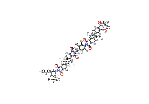 CCC(C)(CC)c1cc(C(=O)O)cc(N2C(=O)c3ccc(C(c4ccc5c(c4)C(=O)N(C(C)(c4c(C)c(C)c(N6C(=O)c7ccc(C(c8ccc9c(c8)C(=O)N(C(C)(CC)CC)C9=O)(C(F)(F)F)C(F)(F)F)cc7C6=O)c(C)c4C)C(C)C)C5=O)(C(F)(F)F)C(F)(F)F)cc3C2=O)c1